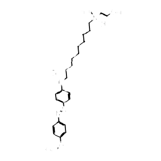 CCCCCCCCOc1ccc(N=Nc2ccc(OCCCCCCCCCC[N+](C)(C)CCO)cc2)cc1.[Br-]